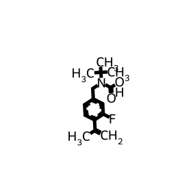 C=C(C)c1ccc(CN(C(=O)O)C(C)(C)C)cc1F